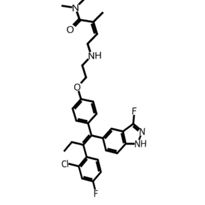 CCC(=C(c1ccc(OCCNCC=C(C)C(=O)N(C)C)cc1)c1ccc2[nH]nc(F)c2c1)c1ccc(F)cc1Cl